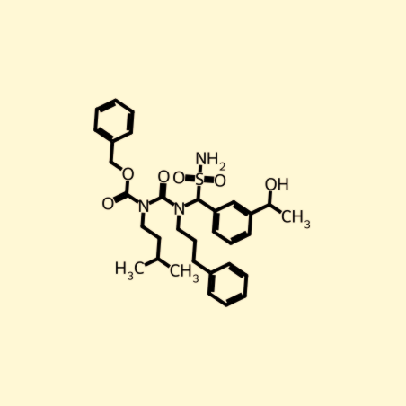 CC(C)CCN(C(=O)OCc1ccccc1)C(=O)N(CCCc1ccccc1)C(c1cccc(C(C)O)c1)S(N)(=O)=O